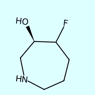 O[C@@H]1CNCCCC1F